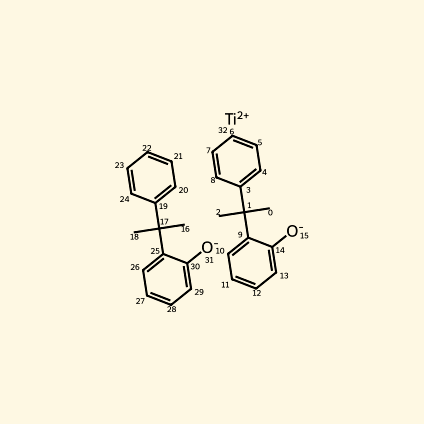 CC(C)(c1ccccc1)c1ccccc1[O-].CC(C)(c1ccccc1)c1ccccc1[O-].[Ti+2]